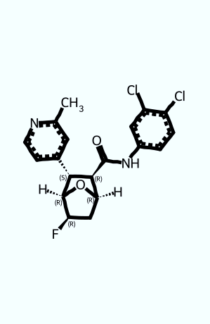 Cc1cc([C@H]2[C@H]3O[C@H](C[C@H]3F)[C@@H]2C(=O)Nc2ccc(Cl)c(Cl)c2)ccn1